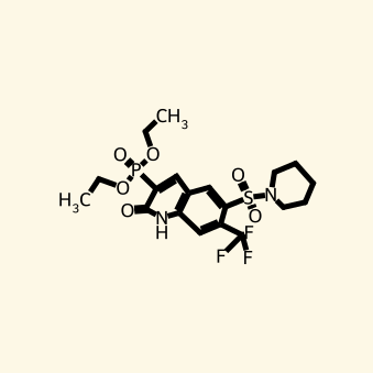 CCOP(=O)(OCC)c1cc2cc(S(=O)(=O)N3CCCCC3)c(C(F)(F)F)cc2[nH]c1=O